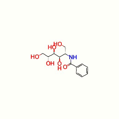 O=C(N[C@@H](CO)[C@@H](O)[C@H](O)[C@H](O)CO)c1ccccc1